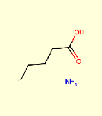 N.[CH2]CCCC(=O)O